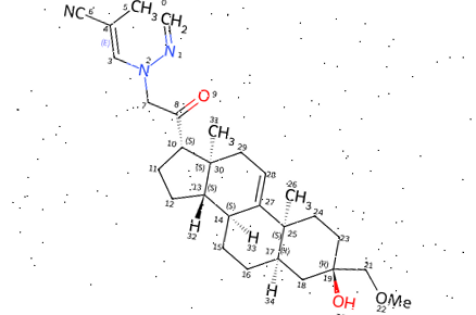 C=NN(/C=C(\C)C#N)CC(=O)[C@H]1CC[C@H]2[C@@H]3CC[C@@H]4C[C@@](O)(COC)CC[C@]4(C)C3=CC[C@]12C